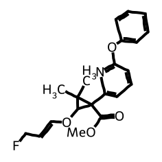 COC(=O)C1(c2cccc(Oc3ccccc3)n2)C(OC=CCF)C1(C)C